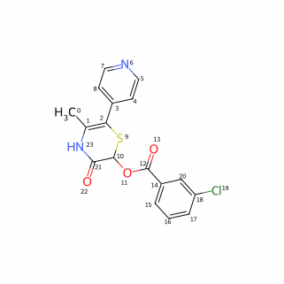 CC1=C(c2ccncc2)SC(OC(=O)c2cccc(Cl)c2)C(=O)N1